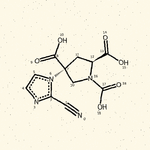 N#Cc1nccn1[C@]1(C(=O)O)C[C@@H](C(=O)O)N(C(=O)O)C1